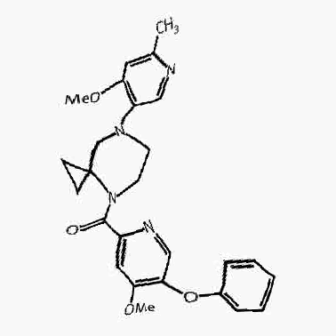 COc1cc(C(=O)N2CCN(c3cnc(C)cc3OC)CC23CC3)ncc1Oc1ccccc1